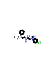 CN(CCNC(=O)Cn1cnc2cc(Cl)c(Cl)cc21)C1CCCCC1